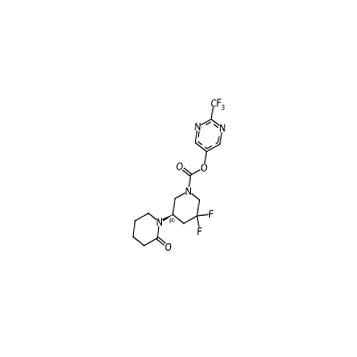 O=C(Oc1cnc(C(F)(F)F)nc1)N1C[C@H](N2CCCCC2=O)CC(F)(F)C1